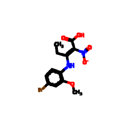 CCC(Nc1ccc(Br)cc1OC)=C(C(=O)O)[N+](=O)[O-]